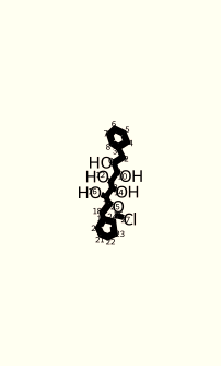 OC(=Cc1ccccc1)C(O)C(O)C(O)C(O)C(=Cc1ccccc1)OCCl